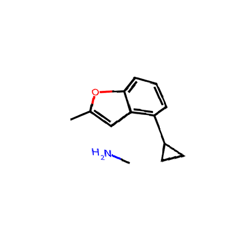 CN.Cc1cc2c(C3CC3)cccc2o1